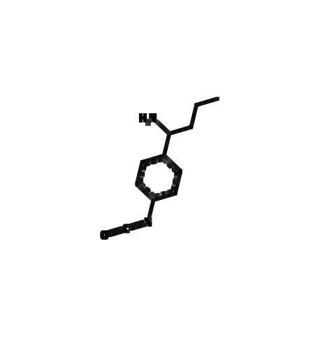 CCCC(N)c1ccc(N=C=O)cc1